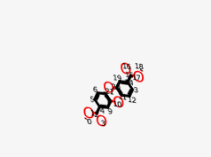 COC(=O)c1ccc2c(c1)Oc1ccc(C(=O)OC)cc1O2